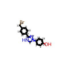 Oc1ccc(N2CNC(c3ccc(CBr)cc3)=N2)cc1